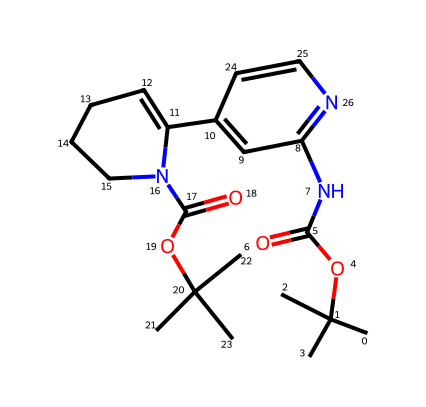 CC(C)(C)OC(=O)Nc1cc(C2=CCCCN2C(=O)OC(C)(C)C)ccn1